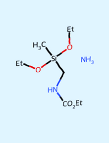 CCOC(=O)NC[Si](C)(OCC)OCC.N